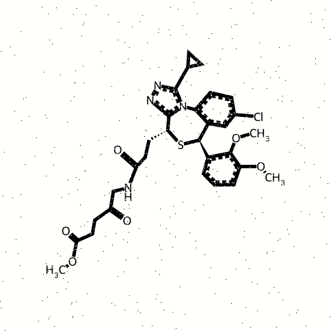 COC(=O)CCC(=O)CNC(=O)CC[C@H]1S[C@H](c2cccc(OC)c2OC)c2cc(Cl)ccc2-n2c(C3CC3)nnc21